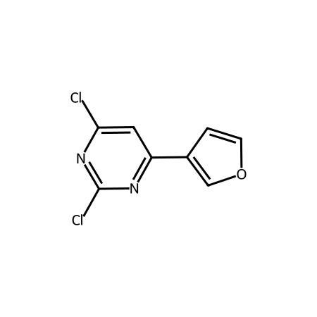 Clc1cc(-c2ccoc2)nc(Cl)n1